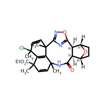 CCOC(=O)C1(C)C=CC2(C)NC(=O)[C@H]3[C@@H](c4nc(no4)C4(C)C=CC(C)(Cl)C1=C24)[C@@H]1CC[C@H]3O1